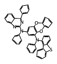 c1ccc(-c2nc(N(c3ccccc3)c3cc4c(c(N(c5ccccc5)c5cccc6sc7ccccc7c56)c3)Oc3ccccc3O4)nc3ccccc23)cc1